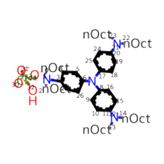 CCCCCCCCN(CCCCCCCC)c1ccc(N(c2ccc(N(CCCCCCCC)CCCCCCCC)cc2)c2ccc(N(CCCCCCCC)CCCCCCCC)cc2)cc1.[O-][Cl+3]([O-])([O-])O